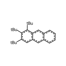 CC(C)(C)c1cc2cc3ccccc3cc2c(C(C)(C)C)c1C(C)(C)C